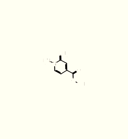 C=C1C=C(C(=O)OC)C=CN1N